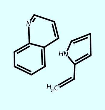 C=Cc1ccc[nH]1.c1ccc2ncccc2c1